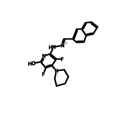 Oc1nc(N/N=C/c2ccc3ccccc3c2)c(F)c(N2CCCCC2)c1F